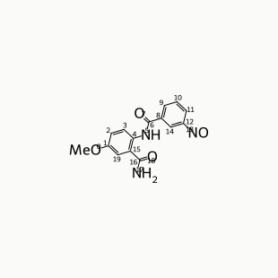 COc1ccc(NC(=O)c2cccc(N=O)c2)c(C(N)=O)c1